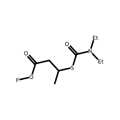 CCN(CC)C(=O)SC(C)CC(=O)OF